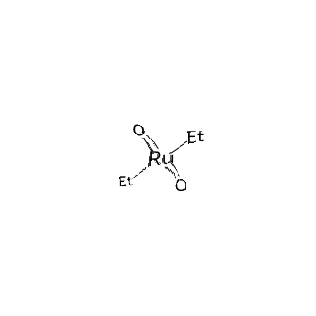 C[CH2][Ru](=[O])(=[O])[CH2]C